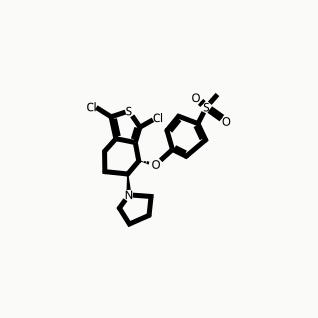 CS(=O)(=O)c1ccc(O[C@H]2c3c(Cl)sc(Cl)c3CC[C@@H]2N2CCCC2)cc1